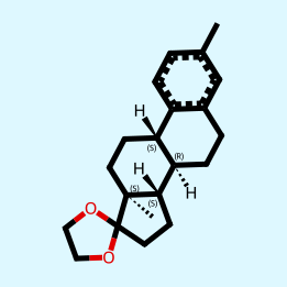 Cc1ccc2c(c1)CC[C@@H]1[C@@H]2CC[C@@]2(C)[C@H]1CCC21OCCO1